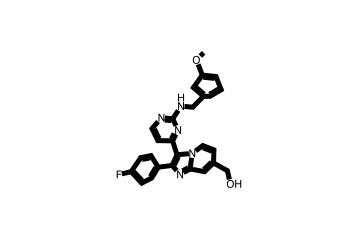 COc1cccc(CNc2nccc(-c3c(-c4ccc(F)cc4)nc4cc(CO)ccn34)n2)c1